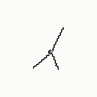 CCCCCCCCCCCCCCCC[n+]1ccn(CCCCCCCCCCCCC)c1CCCCCCCCCCC